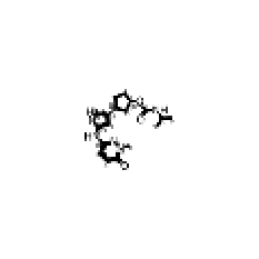 CC(C)NC(=O)O[C@@H]1CC[C@H](c2cc(Nc3ccc(=O)n(C)n3)n[nH]2)C1